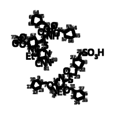 CCC1(N(C)C)C(OCc2ccccc2)=CN=C(SC(=O)Cc2ccc(CS(=O)(=O)O)cc2)C1OCc1ccccc1.CCc1c(C#N)c(S[C@@H](C(=O)NP(=O)(OCc2ccccc2)OCc2ccccc2)c2ccc(OS(C)(=O)=O)cc2)nc(N(C)C)c1C#N